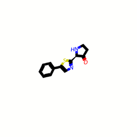 O=C1CCN[C@@H]1c1ncc(-c2ccccc2)s1